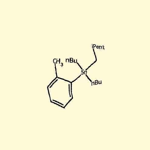 CCC[CH2][Sn]([CH2]CCC)([CH2]C(C)CCC)[c]1ccccc1C